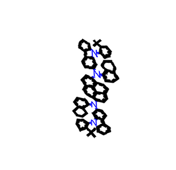 CC(C)(C)c1ccccc1-n1c2ccccc2c2ccc(N(c3cccc4c3CCCC4)c3ccc4ccc5c(N(c6ccc7c8ccccc8n(-c8ccccc8C(C)(C)C)c7c6)c6cccc7c6CCCC7)ccc6ccc3c4c65)cc21